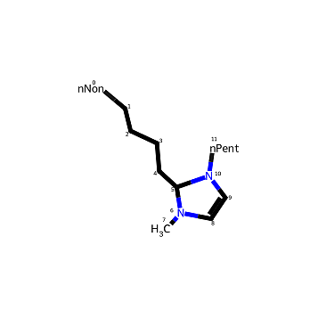 CCCCCCCCCCCCCC1N(C)C=CN1CCCCC